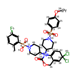 Cc1ccc(F)cc1S(=O)(=O)N1CCC([N+]2(C3CCN(S(=O)(=O)c4ccc(OC(C)C)cc4)CC3)C(=O)OCC3=CC(Cl)(Cl)CC=C32)CC1